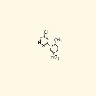 Cc1ccc([N+](=O)[O-])cc1-c1cc(Cl)cnn1